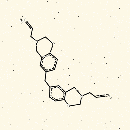 C=CCN1COc2ccc(Cc3ccc4c(c3)CN(CC=C)CO4)cc2C1